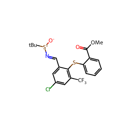 COC(=O)c1ccccc1Sc1c(C=N[S+]([O-])C(C)(C)C)cc(Cl)cc1C(F)(F)F